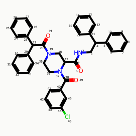 O=C(NCC(c1ccccc1)c1ccccc1)C1CN(C(=O)C(c2ccccc2)c2ccccc2)CCN1C(=O)c1cccc(Cl)c1